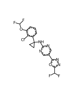 FC(F)Oc1cccc(C2(Nc3ncc(-c4nnc(C(F)F)o4)cn3)CC2)c1Cl